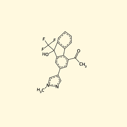 CC(=O)c1cc(-c2cnn(C)c2)cc2c1-c1ccccc1C2(O)C(F)(F)F